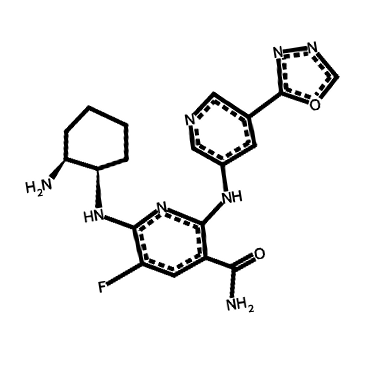 NC(=O)c1cc(F)c(N[C@@H]2CCCC[C@@H]2N)nc1Nc1cncc(-c2nnco2)c1